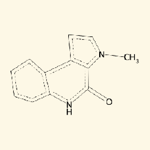 Cn1ccc2c3ccccc3[nH]c(=O)c21